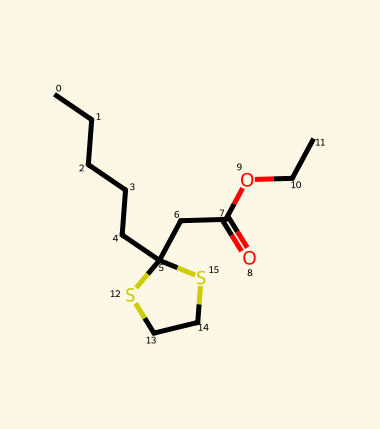 CCCCCC1(CC(=O)OCC)SCCS1